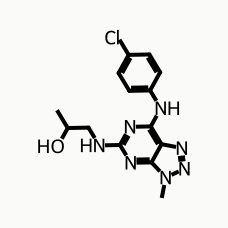 CC(O)CNc1nc(Nc2ccc(Cl)cc2)c2nnn(C)c2n1